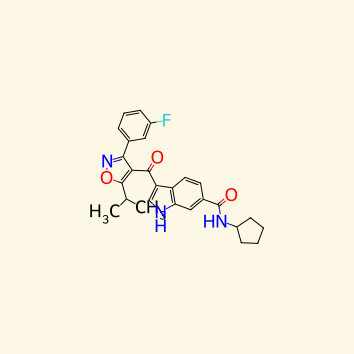 CC(C)c1onc(-c2cccc(F)c2)c1C(=O)c1c[nH]c2cc(C(=O)NC3CCCC3)ccc12